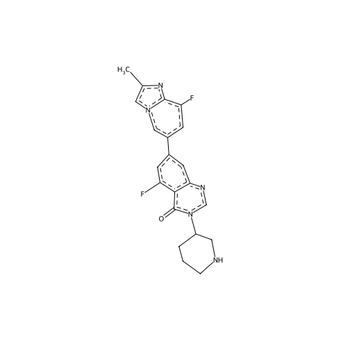 Cc1cn2cc(-c3cc(F)c4c(=O)n(C5CCCNC5)cnc4c3)cc(F)c2n1